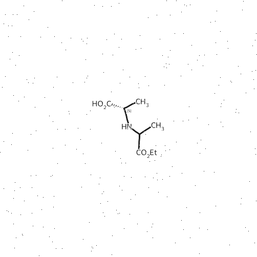 CCOC(=O)C(C)N[C@@H](C)C(=O)O